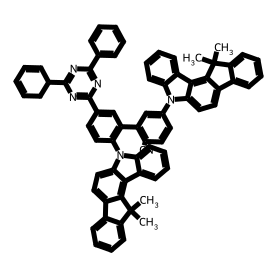 CC1(C)c2ccccc2-c2ccc3c(c21)c1ccccc1n3-c1ccc(C#N)c(-c2cc(-c3nc(-c4ccccc4)nc(C4C=CC=CC4)n3)ccc2-n2c3ccccc3c3c4c(ccc32)-c2ccccc2C4(C)C)c1